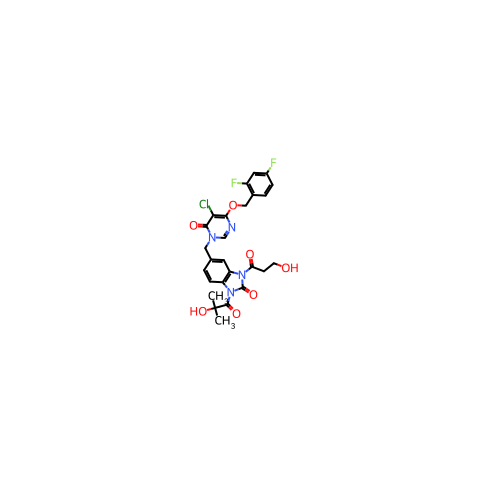 CC(C)(O)C(=O)n1c(=O)n(C(=O)CCO)c2cc(Cn3cnc(OCc4ccc(F)cc4F)c(Cl)c3=O)ccc21